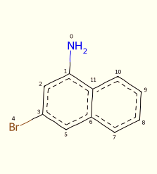 Nc1cc(Br)cc2ccccc12